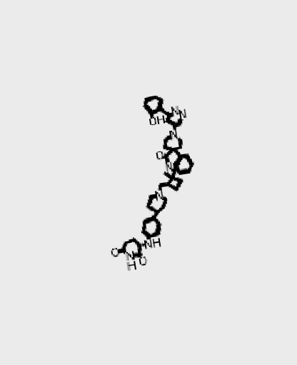 O=C1CC[C@@H](Nc2ccc(C3CCN(CC4CCC45CN(C(=O)C4(c6ccccc6)CCN(c6cnnc(-c7ccccc7O)c6)CC4)C5)CC3)cc2)C(=O)N1